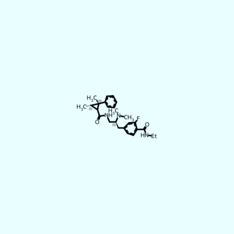 CCNC(=O)c1ccc(C[C@@H](CNC(=O)C2[C@H](C)[C@]2(C)c2ccccc2)N(C)C)cc1F